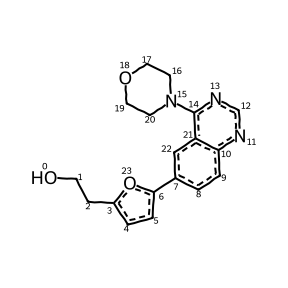 OCCc1ccc(-c2ccc3ncnc(N4CCOCC4)c3c2)o1